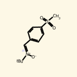 CC(C)(C)/[N+]([O-])=C/c1ccc(S(C)(=O)=O)cc1